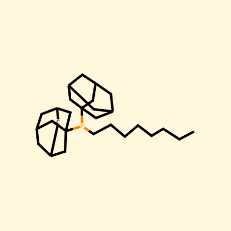 CCCCCCCCP(C12CC3CC(CC(C3)C1)C2)C12CC3CC(CC(C3)C1)C2